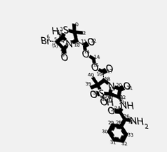 CC1(C)S[C@@H]2[C@@H](Br)C(=O)N2[C@H]1C(=O)OCOC(=O)[C@@H]1N2C(=O)[C@@H](NC(=O)C(N)c3ccccc3)[C@H]2S(=O)(=O)C1(C)C